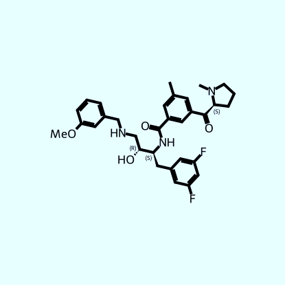 COc1cccc(CNC[C@@H](O)[C@H](Cc2cc(F)cc(F)c2)NC(=O)c2cc(C)cc(C(=O)[C@@H]3CCCN3C)c2)c1